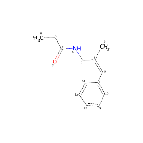 CCC(=O)NC/C(C)=C\c1ccccc1